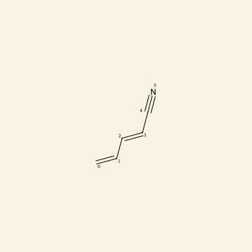 C=C/C=C/C#N